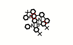 CC(C)(C)c1ccc2c(c1)B1c3cc(C(C)(C)C)ccc3N(c3c(-c4ccccc4)cccc3-c3ccccc3)c3cc(N4c5ccccc5C(C)(C)c5ccccc54)cc(c31)N2c1ccccc1